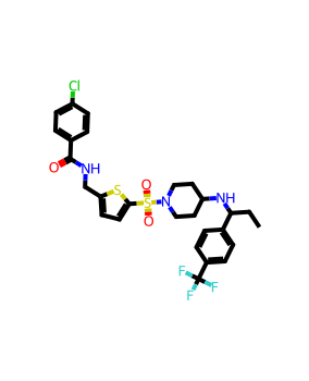 CCC(NC1CCN(S(=O)(=O)c2ccc(CNC(=O)c3ccc(Cl)cc3)s2)CC1)c1ccc(C(F)(F)F)cc1